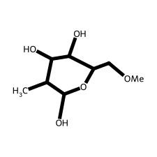 COCC1OC(O)C(C)C(O)C1O